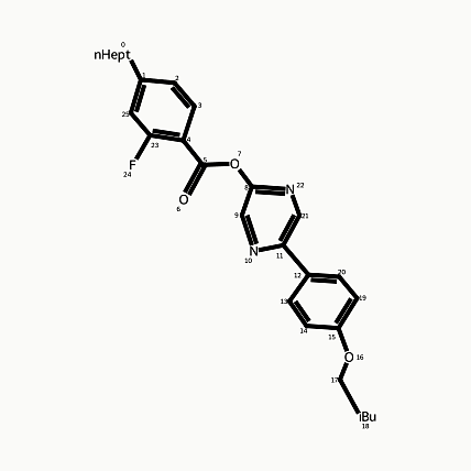 CCCCCCCc1ccc(C(=O)Oc2cnc(-c3ccc(OCC(C)CC)cc3)cn2)c(F)c1